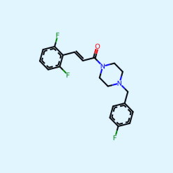 O=C(C=Cc1c(F)cccc1F)N1CCN(Cc2ccc(F)cc2)CC1